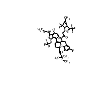 CSNc1nn(CC(F)(F)F)c2c(-c3ccc(C#CC(C)(C)SC)nc3C(Cc3cc(F)cc(F)c3)NC(=O)CN3N=C(C(F)(F)F)C4C5C(C)C5C(F)(F)C43)ccc(Cl)c12